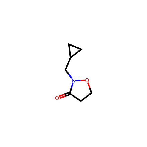 O=C1[CH]CON1CC1CC1